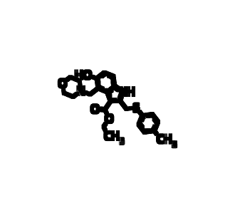 CCOC(=O)c1c(CSc2ccc(C)cc2)[nH]c2ccc(O)c(CN3CCOCC3)c12